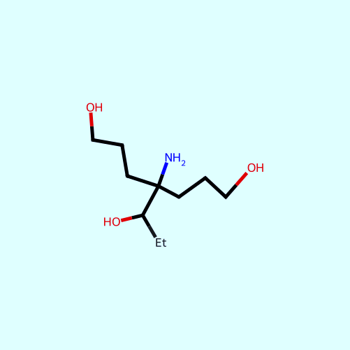 CCC(O)C(N)(CCCO)CCCO